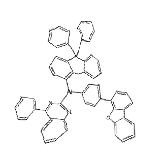 c1ccc(-c2nc(N(c3ccc(-c4cccc5c4oc4ccccc45)cc3)c3cccc4c3-c3ccccc3C4(c3ccccc3)c3ccccc3)nc3ccccc23)cc1